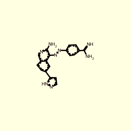 N=C(N)c1ccc(/N=N/c2c(N)ncc3ccc(-c4ccn[nH]4)cc23)cc1